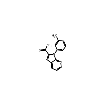 Cc1cccc(-n2c(C(N)=O)cc3cccnc32)c1